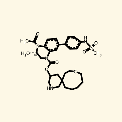 CC(=O)N1c2ccc(-c3ccc(NS(C)(=O)=O)cc3)cc2N(C(=O)OC2CNCC3(CCCCCCCC3)C2)C[C@@H]1C